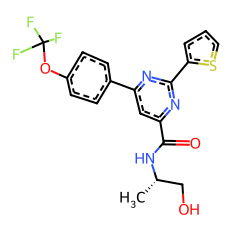 C[C@@H](CO)NC(=O)c1cc(-c2ccc(OC(F)(F)F)cc2)nc(-c2cccs2)n1